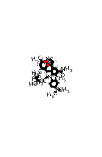 CCN(c1c(C)c(C(N)=O)cc(-c2ccncc2)c1Cc1c(C)cc(C)[nH]c1=O)C1CCC(N(C)C)CC1.O=C(O)C(F)(F)F